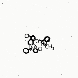 Cn1nc(COc2ccc(Cl)c3c2[C@@H](CN2CCCC2=O)N(C(=O)C2CCCCC2)CC3)c2ccccc21